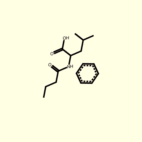 CCCC(=O)NC(CC(C)C)C(=O)O.c1ccccc1